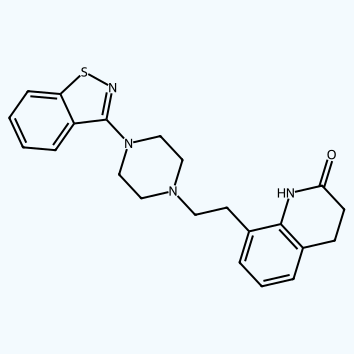 O=C1CCc2cccc(CCN3CCN(c4nsc5ccccc45)CC3)c2N1